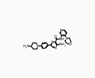 Nc1ncc(-c2ccc(N3CCC(N)CC3)cc2)nc1C(=O)Nc1cnccc1N1CCOCC1